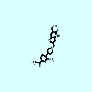 CCc1cc2ncc(CN3CC=C(c4ccc(C(N)=O)nc4N)CC3)cc2[nH]c1=O